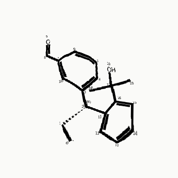 [CH2]C[C@H](c1cccc(C=O)c1)c1ccccc1C(C)(C)O